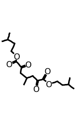 CC(C)CCOC(=O)C(=O)CC(C)CC(=O)C(=O)OCCC(C)C